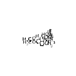 C=C(C)C(=O)Oc1ccc2c(C(CC)(CC)OC(C)C(O)(C(F)(F)F)C(F)(F)F)cccc2c1